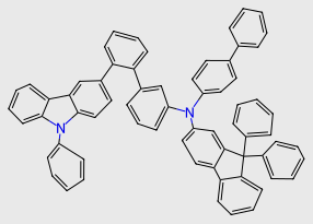 c1ccc(-c2ccc(N(c3cccc(-c4ccccc4-c4ccc5c(c4)c4ccccc4n5-c4ccccc4)c3)c3ccc4c(c3)C(c3ccccc3)(c3ccccc3)c3ccccc3-4)cc2)cc1